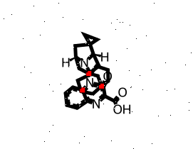 O=C(O)c1nc2ccccc2n([C@@H]2C[C@@H]3CC4(CC4)[C@H](C2)N3C23CCCC(CCC2)C3)c1=O